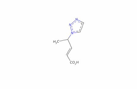 CC(C=CC(=O)O)n1ccnn1